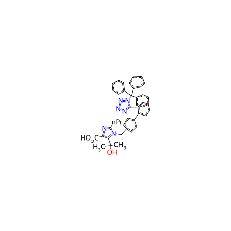 CCCc1nc(C(=O)O)c(C(C)(C)O)n1Cc1ccc(-c2ccccc2-c2nnnn2C(c2ccccc2)(c2ccccc2)c2ccccc2)cc1